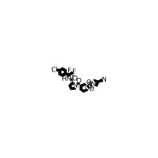 N#CC1CN(S(=O)(=O)N2CCC[C@H](C(=O)N3CCC[C@@H]3C(=O)N[C@@H](c3ccc(Cl)cc3)C(F)(F)F)C2)C1